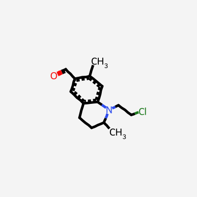 Cc1cc2c(cc1C=O)CCC(C)N2CCCl